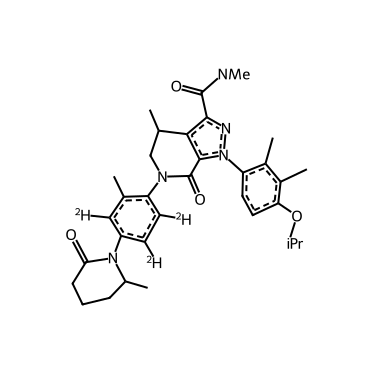 [2H]c1c([2H])c(N2C(=O)CCCC2C)c([2H])c(C)c1N1CC(C)c2c(C(=O)NC)nn(-c3ccc(OC(C)C)c(C)c3C)c2C1=O